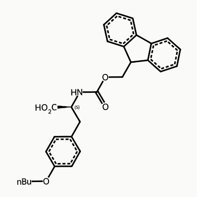 CCCCOc1ccc(C[C@H](NC(=O)OCC2c3ccccc3-c3ccccc32)C(=O)O)cc1